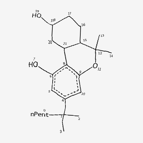 CCCCCC(C)(C)c1cc(O)c2c(c1)OC(C)(C)C1CCC(O)CC21